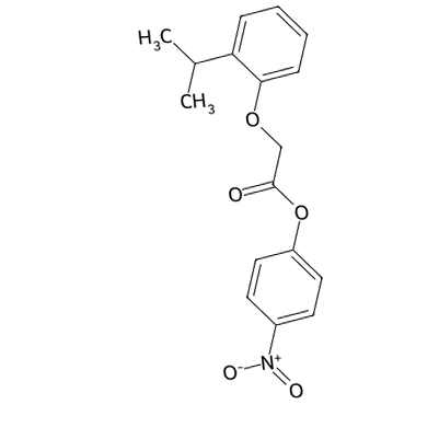 CC(C)c1ccccc1OCC(=O)Oc1ccc([N+](=O)[O-])cc1